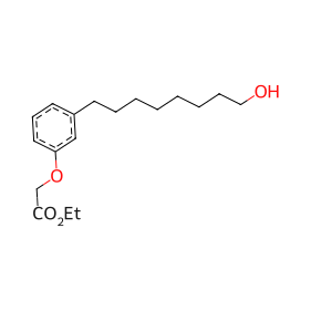 CCOC(=O)COc1cccc(CCCCCCCCO)c1